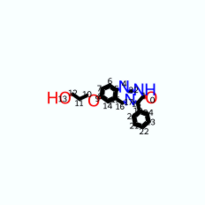 O=C1NC2=Nc3ccc(OCCCO)cc3CN2C1c1ccccc1